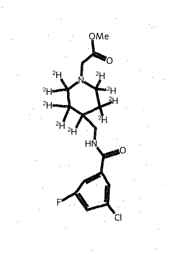 [2H]C1([2H])N(CC(=O)OC)C([2H])([2H])C([2H])([2H])C([2H])(CNC(=O)c2cc(F)cc(Cl)c2)C1([2H])[2H]